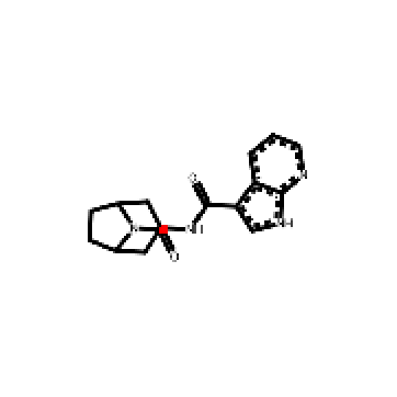 O=CN1C2CCC1CC(NC(=O)c1c[nH]c3ncccc13)C2